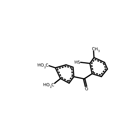 Cc1cccc(C(=O)c2ccc(C(=O)O)c(C(=O)O)c2)c1S